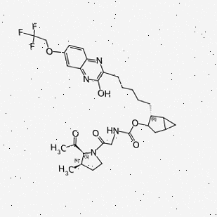 CC(=O)[C@@H]1[C@H](C)CCN1C(=O)CNC(=O)OC1CC2CC2[C@H]1CCCCCc1nc2ccc(OCC(F)(F)F)cc2nc1O